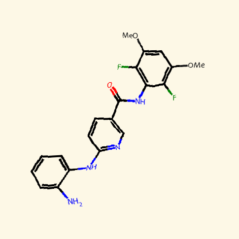 COc1cc(OC)c(F)c(NC(=O)c2ccc(Nc3ccccc3N)nc2)c1F